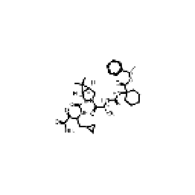 C[C@H](OC(=O)C1(NC(=O)N[C@H](C(=O)N2C[C@H]3[C@@H]([C@H]2C(=O)NC(CC2CC2)C(=O)C(N)=O)C3(C)C)C(C)(C)C)CCCCC1)c1ccccc1